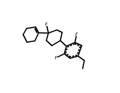 CCc1cc(F)c(C2CCC(F)(C3=CCCCC3)CC2)c(F)c1